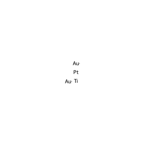 [Au].[Au].[Pt].[Ti]